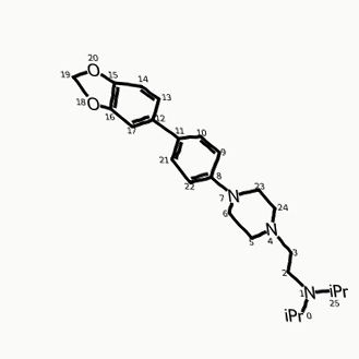 CC(C)N(CCN1CCN(c2ccc(-c3ccc4c(c3)OCO4)cc2)CC1)C(C)C